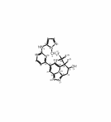 Cn1nccc1Nc1nccc(-c2cc3n4c(nnc4c2)CC(O)C3(F)C(F)(F)F)n1